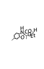 CCOC(C)C1(C(=O)O)Nc2ccc(C)cc2O1